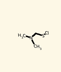 CN(C)CSCl